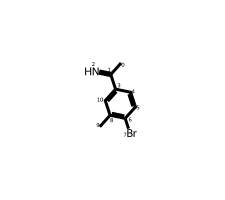 CC(=N)c1ccc(Br)c(C)c1